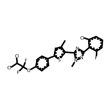 Cc1cc(-c2ccc(OC(F)(F)C(Cl)Cl)cc2)sc1-c1nc(-c2c(F)cccc2Cl)nn1C